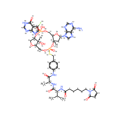 CC(C)[C@H](NC(=O)CCCCCN1C(=O)C=CC1=O)C(=O)N[C@@H](C)C(=O)Nc1ccc(CSP2(=O)OC[C@H]3OC[C@@](n4cc(F)c5c(=O)[nH]cnc54)(OP(=O)(O)OCC4O[C@@H](n5cnc6c(N)ncnc65)C[C@@H]4O2)[C@@H]3O)cc1